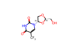 O=c1[nH]c(=O)n([C@@H]2CO[C@H](CO)O2)cc1C(F)(F)F